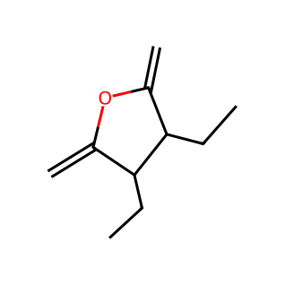 C=C1OC(=C)C(CC)C1CC